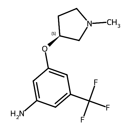 CN1CC[C@H](Oc2cc(N)cc(C(F)(F)F)c2)C1